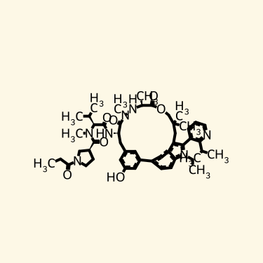 CCC(=O)N1CC[C@H](C(=O)N(C)[C@H](C(=O)N[C@H]2Cc3cc(O)cc(c3)-c3ccc4c(c3)c(c(-c3cccnc3C(C)C)n4CC)CC(C)(C)COC(=O)[C@H](C)NN(C)C2=O)C(C)C)C1